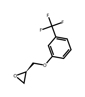 FC(F)(F)c1cccc(OC[C@H]2CO2)c1